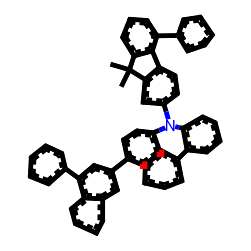 CC1(C)c2cc(N(c3ccc(-c4cc(-c5ccccc5)c5ccccc5c4)cc3)c3ccccc3-c3ccccc3)ccc2-c2c(-c3ccccc3)cccc21